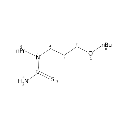 CCCCOCCCN(CCC)C(N)=S